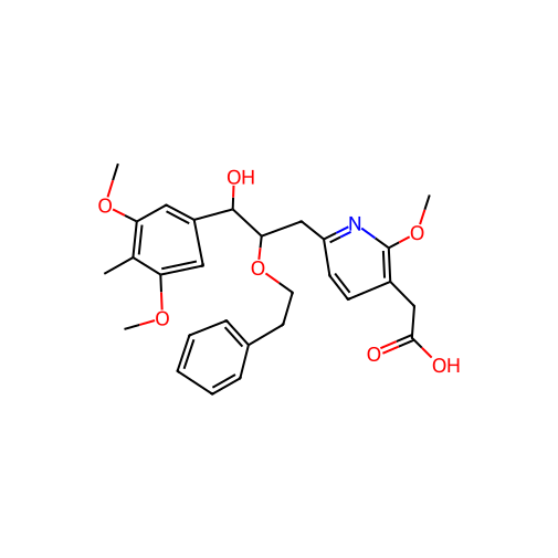 COc1cc(C(O)C(Cc2ccc(CC(=O)O)c(OC)n2)OCCc2ccccc2)cc(OC)c1C